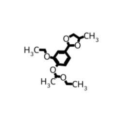 CCOc1cc(C2OCC(C)O2)ccc1OC(C)OCC